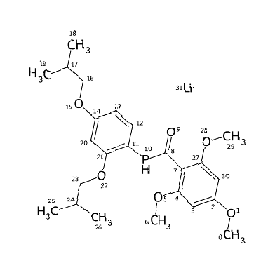 COc1cc(OC)c(C(=O)Pc2ccc(OCC(C)C)cc2OCC(C)C)c(OC)c1.[Li]